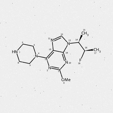 COc1nc(N2CCNCC2)c2ncn([C@@H](C)[C@@H](C)F)c2n1